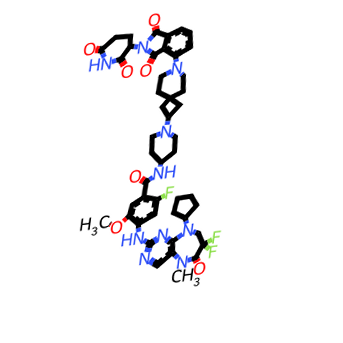 COc1cc(C(=O)NC2CCN(C3CC4(CCN(c5cccc6c5C(=O)N(C5CCC(=O)NC5=O)C6=O)CC4)C3)CC2)c(F)cc1Nc1ncc2c(n1)N(C1CCCC1)CC(F)(F)C(=O)N2C